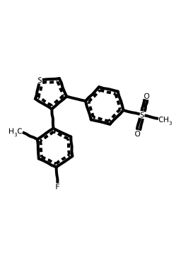 Cc1cc(F)ccc1-c1cscc1-c1ccc(S(C)(=O)=O)cc1